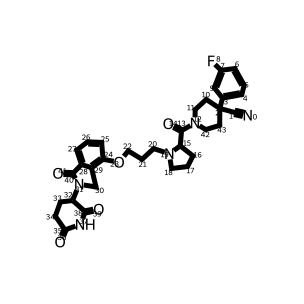 N#CC1(c2cccc(F)c2)CCN(C(=O)C2CCCN2CCCOc2cccc3c2CN(C2CCC(=O)NC2=O)C3=O)CC1